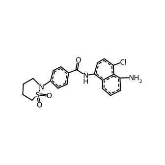 Nc1cccc2c(NC(=O)c3ccc(N4CCCCS4(=O)=O)cc3)ccc(Cl)c12